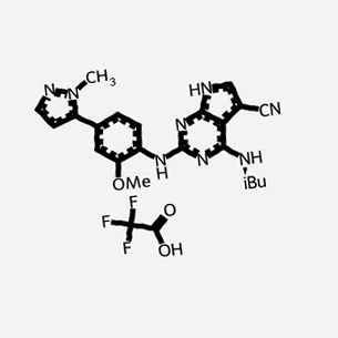 CC[C@@H](C)Nc1nc(Nc2ccc(-c3ccnn3C)cc2OC)nc2[nH]cc(C#N)c12.O=C(O)C(F)(F)F